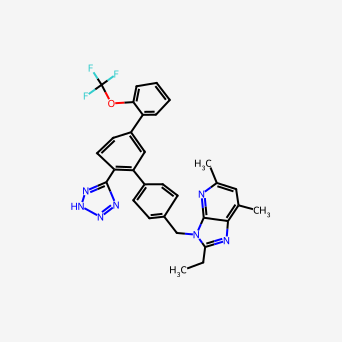 CCc1nc2c(C)cc(C)nc2n1Cc1ccc(-c2cc(-c3ccccc3OC(F)(F)F)ccc2-c2nn[nH]n2)cc1